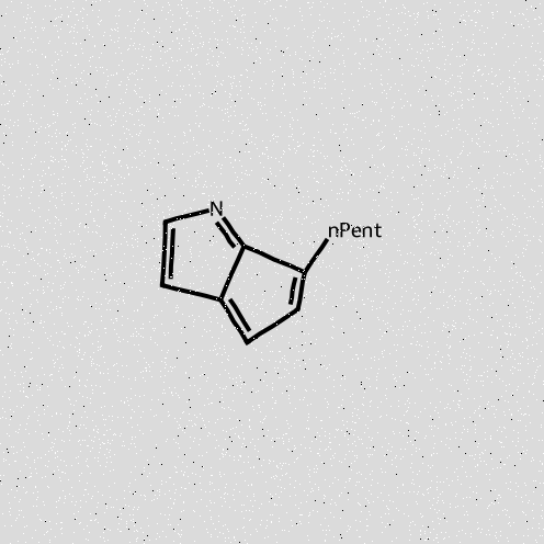 CCCCCC1=CC=C2C=CN=C21